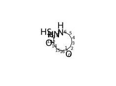 O=C1CCCCCNN[C@H](CS)C(=O)CCC1